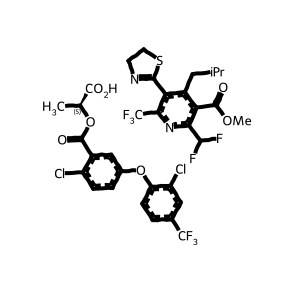 COC(=O)c1c(C(F)F)nc(C(F)(F)F)c(C2=NCCS2)c1CC(C)C.C[C@H](OC(=O)c1cc(Oc2ccc(C(F)(F)F)cc2Cl)ccc1Cl)C(=O)O